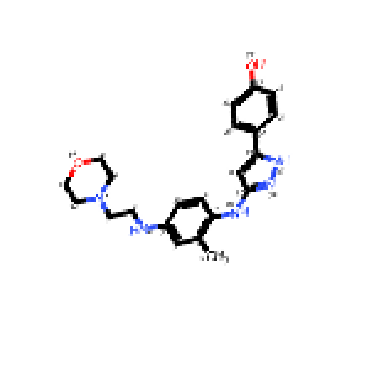 Cc1cc(NCCN2CCOCC2)ccc1Nc1cc(-c2ccc(O)cc2)[nH]n1